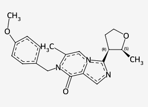 COc1ccc(Cn2c(C)cn3c([C@H]4CCO[C@H]4C)ncc3c2=O)cc1